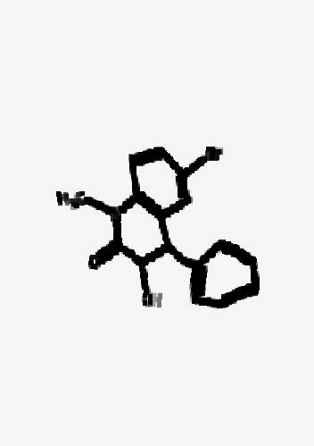 CN1C(=O)C(O)C(c2ccccc2)c2cc(Br)ccc21